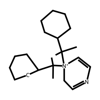 CC(C)(C1CCCCC1)[N+]1(C(C)(C)C2CCCCC2)C=CN=CC1